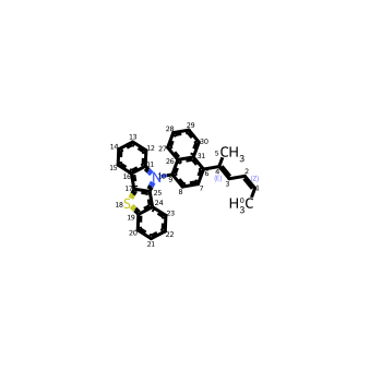 C/C=C\C=C(/C)c1ccc(-n2c3ccccc3c3sc4ccccc4c32)c2ccccc12